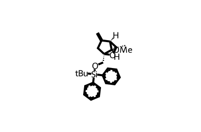 C=C1C[C@]2(CO[Si](c3ccccc3)(c3ccccc3)C(C)(C)C)O[C@@H](C)[C@H]1[C@@H]2OC